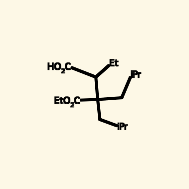 CCOC(=O)C(CC(C)C)(CC(C)C)C(CC)C(=O)O